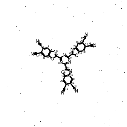 N#Cc1cc2nc(-c3nc(-c4nc5cc(C#N)c(C#N)cc5o4)nc(-c4nc5cc(C#N)c(C#N)cc5o4)n3)oc2cc1C#N